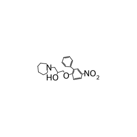 O=[N+]([O-])c1ccc(OCC(O)CN2CCCCCC2)c(-c2ccccc2)c1